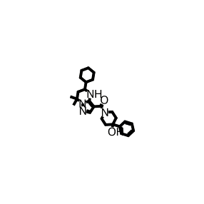 CC1(C)CC(C2CCCCC2)Nc2c(C(=O)N3CCC(O)(c4ccccc4)CC3)cnn21